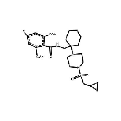 COc1cc(F)cc(SC)c1C(=O)NCC1(N2CCN(S(=O)(=O)CC3CC3)CC2)CCCCC1